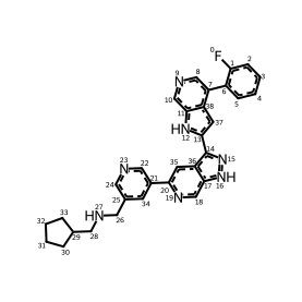 Fc1ccccc1-c1cncc2[nH]c(-c3n[nH]c4cnc(-c5cncc(CNCC6CCCC6)c5)cc34)cc12